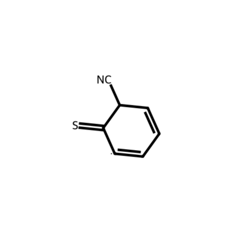 N#CC1C=CC=[C]C1=S